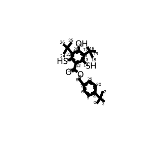 CC(C)(C)c1ccc(COC(=O)c2c(S)c(C(C)(C)C)c(O)c(C(C)(C)C)c2S)cc1